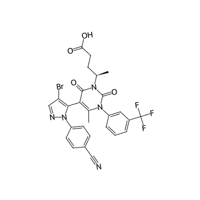 Cc1c(-c2c(Br)cnn2-c2ccc(C#N)cc2)c(=O)n([C@H](C)CCC(=O)O)c(=O)n1-c1cccc(C(F)(F)F)c1